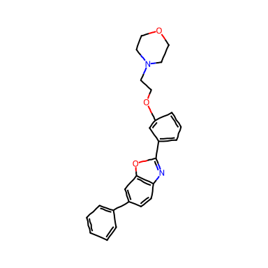 c1ccc(-c2ccc3nc(-c4cccc(OCCN5CCOCC5)c4)oc3c2)cc1